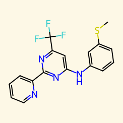 CSc1cccc(Nc2cc(C(F)(F)F)nc(-c3ccccn3)n2)c1